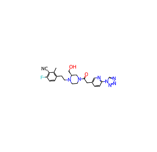 Cc1c(CCN2CCN(C(=O)Cc3ccc(-n4cnnn4)nc3)C[C@@H]2CO)ccc(F)c1C#N